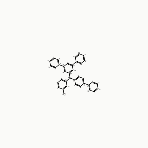 Clc1cccc(N(c2ccc(-c3ccccc3)cc2)c2cc(-c3ccccc3)cc(-c3ccccc3)c2)c1